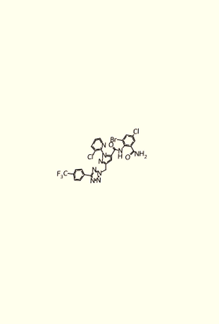 NC(=O)c1cc(Cl)cc(Br)c1NC(=O)c1cc(Cn2nnc(-c3ccc(C(F)(F)F)cc3)n2)nn1-c1ncccc1Cl